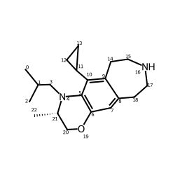 CC(C)CN1c2c(cc3c(c2C2CC2)CCNCC3)OC[C@@H]1C